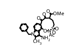 COC(=O)C1CCS(=O)(=O)N(C(C)=O)Oc2c(ccc3c2c(N)c(C)n3Cc2ccccc2)C(=O)C1=O